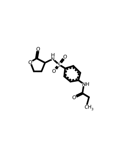 CCC(=O)Nc1ccc(S(=O)(=O)NC2CCOC2=O)cc1